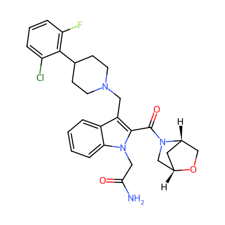 NC(=O)Cn1c(C(=O)N2C[C@@H]3C[C@H]2CO3)c(CN2CCC(c3c(F)cccc3Cl)CC2)c2ccccc21